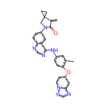 C=C1C(=O)N(c2ccc3ncnc(Nc4ccc(Oc5ccn6ncnc6c5)c(C)c4)c3c2)CC12CC2